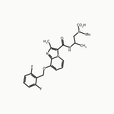 Cc1nc2c(OCc3c(F)cccc3F)cccn2c1C(=O)NC(C)CN(C(=O)O)C(C)(C)C